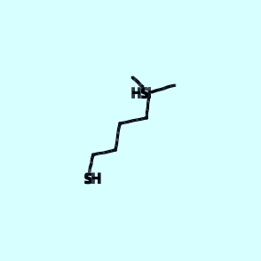 C[SiH](C)CCCCS